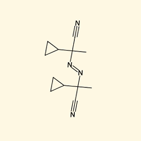 CC(C#N)(/N=N/C(C)(C#N)C1CC1)C1CC1